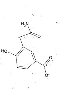 NC(=O)Cc1cc([N+](=O)[O-])ccc1O